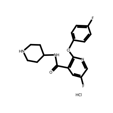 Cl.O=C(NC1CCNCC1)c1cc(F)cnc1Oc1ccc(F)cc1